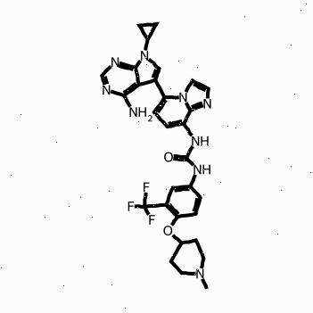 CN1CCC(Oc2ccc(NC(=O)Nc3ccc(-c4cn(C5CC5)c5ncnc(N)c45)n4ccnc34)cc2C(F)(F)F)CC1